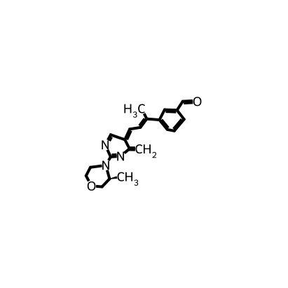 C=c1nc(N2CCOC[C@@H]2C)nc/c1=C/C=C(\C)c1cccc(C=O)c1